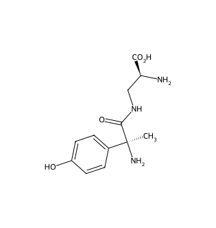 C[C@@](N)(C(=O)NC[C@H](N)C(=O)O)c1ccc(O)cc1